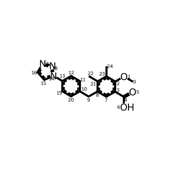 COc1c(C(=O)O)cc(Cc2ccc(-n3ccnn3)cc2)c(C)c1C